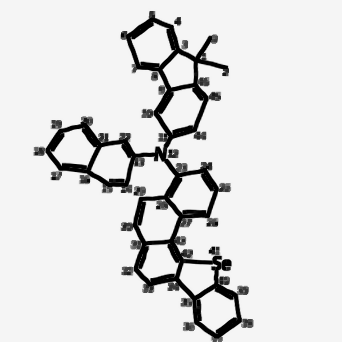 CC1(C)c2ccccc2-c2cc(N(c3ccc4ccccc4c3)c3cccc4c3ccc3ccc5c6ccccc6[se]c5c34)ccc21